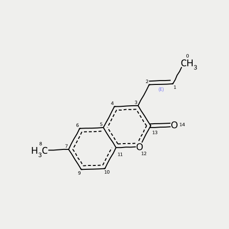 C/C=C/c1cc2cc(C)ccc2oc1=O